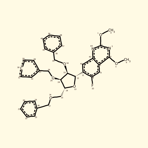 COc1nc(OC)c2cc(F)c([C@@H]3O[C@H](COCc4ccccc4)[C@@H](OCc4ccccc4)[C@H]3OCc3ccccc3)cc2n1